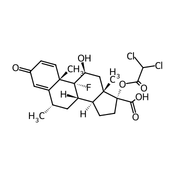 C[C@H]1C[C@H]2[C@@H]3CC[C@](OC(=O)C(Cl)Cl)(C(=O)O)[C@@]3(C)C[C@H](O)[C@]2(F)[C@@]2(C)C=CC(=O)C=C12